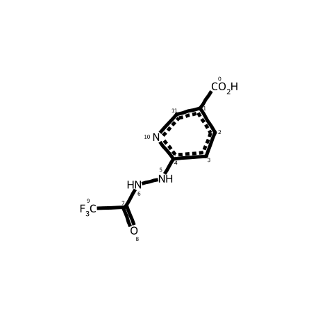 O=C(O)c1ccc(NNC(=O)C(F)(F)F)nc1